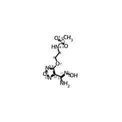 CS(=O)(=O)NCCOc1nonc1/C(N)=N/O